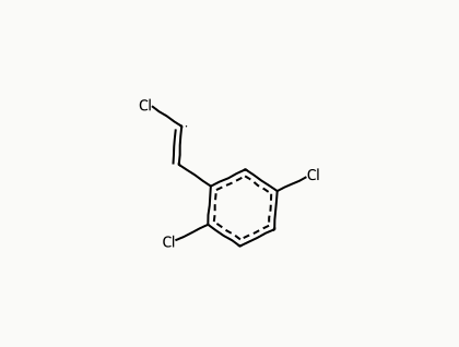 Cl[C]=Cc1cc(Cl)ccc1Cl